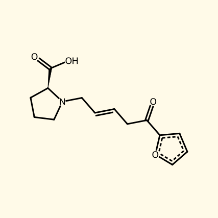 O=C(C/C=C/CN1CCC[C@H]1C(=O)O)c1ccco1